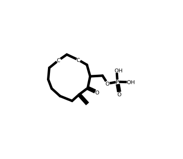 C=C1CCCCCCCCCC(COP(=O)(O)O)C1=O